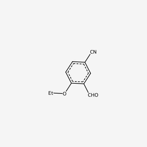 CCOc1ccc(C#N)cc1C=O